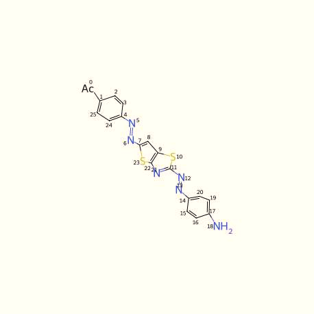 CC(=O)c1ccc(N=Nc2cc3sc(N=Nc4ccc(N)cc4)nc3s2)cc1